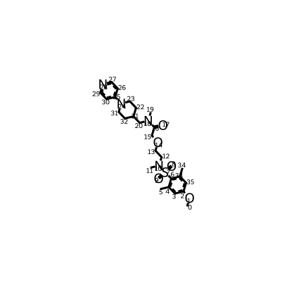 COc1cc(C)c(S(=O)(=O)N(C)CCOCC(=O)N(C)CC2CCN(c3ccncc3)CC2)c(C)c1